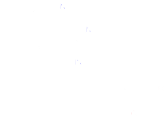 Cc1ccc2ncnc(Nc3ccc4c(c3)OCO4)c2c1